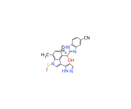 Cc1cc(C)c2c(c(-c3ccn[nH]3)cn2SI)c1C(O)c1nc2cc(C#N)ccc2[nH]1